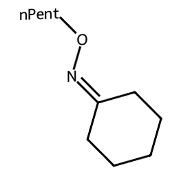 CCCCCON=C1CCCCC1